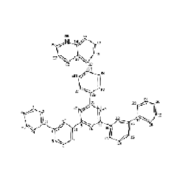 c1ccc(-c2cccc(-c3cc(-c4cccc(-c5ccccc5)c4)nc(-c4ccc(-c5cccc6ncccc56)cc4)n3)c2)cc1